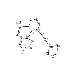 O=C(O)c1cccc(C#Cc2nccs2)c1-c1ccncc1